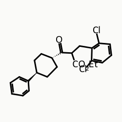 CCOC(=O)C(Cc1c(Cl)cccc1Cl)C(=O)[C@H]1CC[C@H](c2ccccc2)CC1